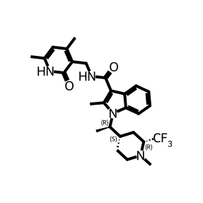 Cc1cc(C)c(CNC(=O)c2c(C)n([C@H](C)[C@H]3CCN(C)[C@@H](C(F)(F)F)C3)c3ccccc23)c(=O)[nH]1